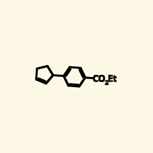 CCOC(=O)c1ccc(C2C=CCC2)cc1